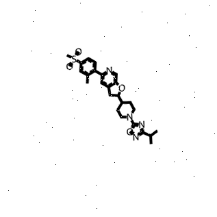 Cc1cc(S(C)(=O)=O)ccc1-c1cc2c(cn1)OC(C1CCN(c3nc(C(C)C)no3)CC1)C2